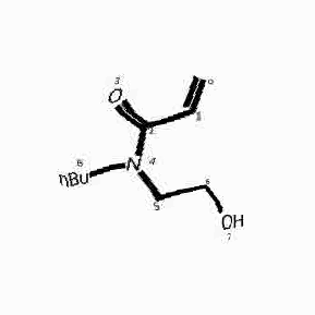 C=CC(=O)N(CCO)CCCC